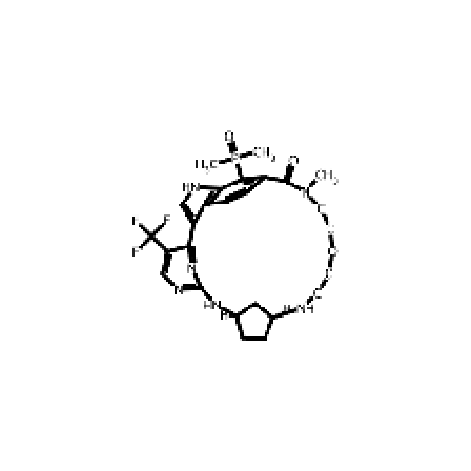 CN1CCOCCN[C@H]2CC[C@@H](C2)Nc2ncc(C(F)(F)F)c(n2)-c2c[nH]c3c(P(C)(C)=O)c(ccc23)C1=O